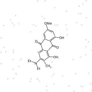 CCN(CC)c1cc2c(c(O)c1C)C(=O)c1c(O)cc(OC)cc1C2=O